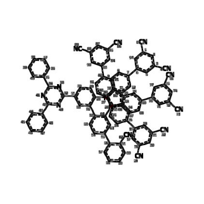 N#Cc1cc(C#N)cc(-c2ccc3c(c2)c2cc(-c4cc(C#N)cc(C#N)c4)ccc2n3-c2ccc(-c3nc(-c4ccccc4)nc(-c4ccccc4)n3)cc2-c2ccc(-c3ccccc3C#N)cc2-n2c3ccc(-c4cc(C#N)cc(C#N)c4)cc3c3cc(-c4cc(C#N)cc(C#N)c4)ccc32)c1